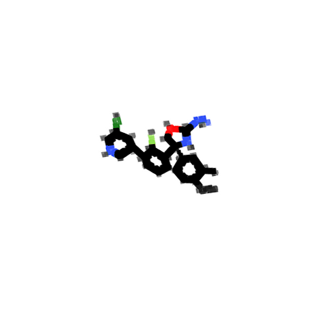 COc1ccc([C@]2(c3cccc(-c4cncc(Cl)c4)c3F)COC(N)=N2)cc1C